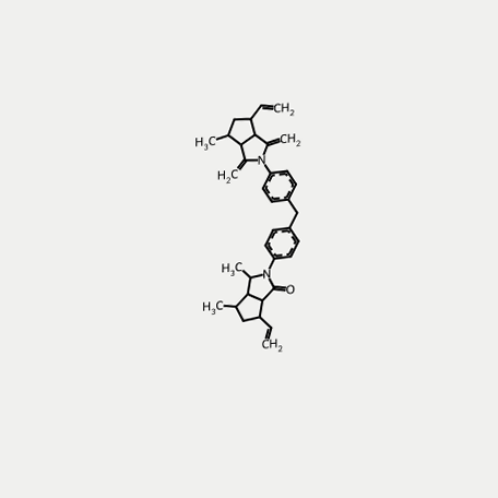 C=CC1CC(C)C2C(=C)N(c3ccc(Cc4ccc(N5C(=O)C6C(C=C)CC(C)C6C5C)cc4)cc3)C(=C)C12